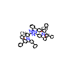 N#Cc1cccc(-c2ccccc2-c2nc(-c3ccc(-c4ccccc4C#N)c(-n4c5ccc(-c6ccccc6)cc5c5cc(-c6ccccc6)ccc54)c3)nc(-c3ccc(-c4ccccc4C#N)c(-n4c5ccc(-c6ccccc6)cc5c5cc(-c6ccccc6)ccc54)c3)n2)c1